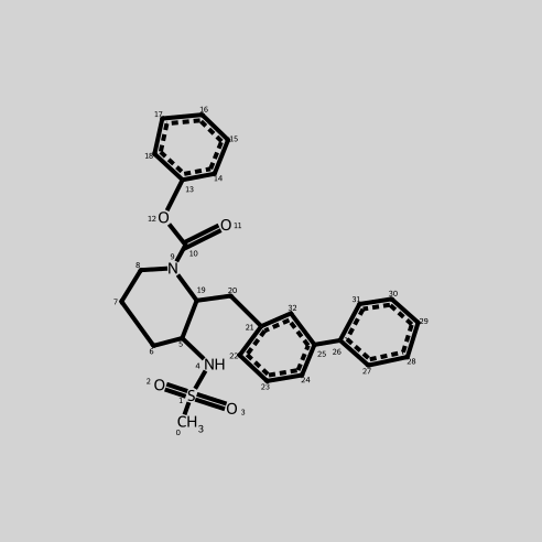 CS(=O)(=O)NC1CCCN(C(=O)Oc2ccccc2)C1Cc1cccc(-c2ccccc2)c1